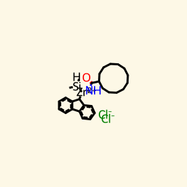 C[SiH](C)[Zr+2]([NH]C(=O)C1CCCCCCCCCCC1)[CH]1c2ccccc2-c2ccccc21.[Cl-].[Cl-]